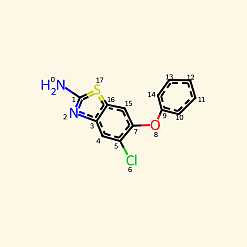 Nc1nc2cc(Cl)c(Oc3ccccc3)cc2s1